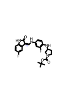 CC(C)(C)OC(=O)N1CCC(Nc2ccc(N/C=C3\C(=O)Nc4ccc(F)cc43)cc2F)C1